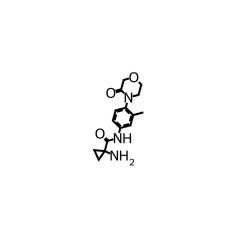 Cc1cc(NC(=O)C2(N)CC2)ccc1N1CCOCC1=O